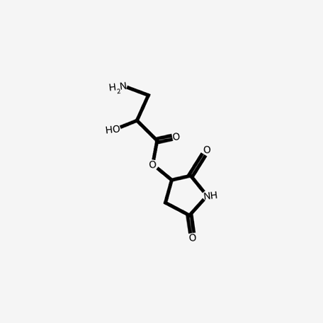 NCC(O)C(=O)OC1CC(=O)NC1=O